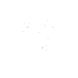 CCCN(C(=O)OCOC(=O)Cc1ccc(OP(=O)(O)O)cc1)C(=O)c1cn2ncnc(Nc3cc(C(=O)NCC)ccc3C)c2c1C